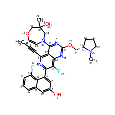 CC#Cc1nc(-c2cc(O)cc3cccc(F)c23)c(F)c2nc(OC[C@@H]3CCCN3C)nc(N3C=COCC(C)(O)C3)c12